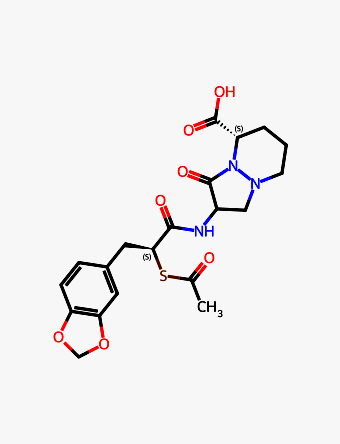 CC(=O)S[C@@H](Cc1ccc2c(c1)OCO2)C(=O)NC1CN2CCC[C@@H](C(=O)O)N2C1=O